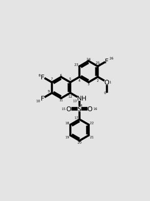 COc1cc(-c2cc(F)c(F)cc2NS(=O)(=O)c2ccccc2)ccc1F